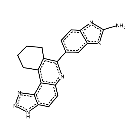 Nc1nc2ccc(-c3nc4ccc5[nH]nnc5c4c4c3CCCC4)cc2s1